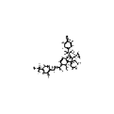 O=C(NCc1ncc(C(F)(F)F)cc1F)c1ccc2c(c1Cl)C1(CCSCC1)C(C1CC1)N2S(=O)(=O)c1ccc(F)cc1